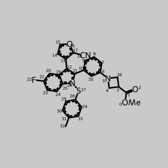 COC(=O)C1CN(c2cccc(-c3c(-c4ccoc4C#N)c4cc(F)ccc4n3Sc3ccc(C)cc3)c2)C1